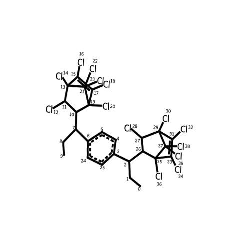 CCC(c1ccc(C(CC)C2C(Cl)C3(Cl)C(Cl)=C(Cl)C2(Cl)C3(Cl)Cl)cc1)C1C(Cl)C2(Cl)C(Cl)=C(Cl)C1(Cl)C2(Cl)Cl